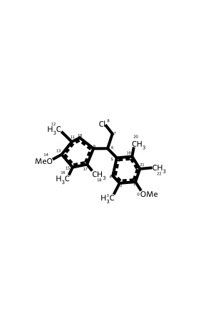 COc1c(C)cc(C(CCl)c2cc(C)c(OC)c(C)c2C)c(C)c1C